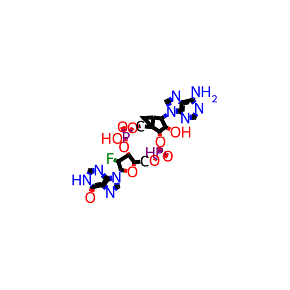 Nc1ncnc2c1ncn2C1C(O)C2O[PH](=O)OCC3OC(n4cnc5c(=O)[nH]cnc54)C(F)C3OP(=O)(O)OCC23CC13